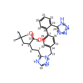 CC(C)(C)CC(CCc1ncnn1Cc1ccc(-c2ccccc2-c2nnn[nH]2)cc1)C(=O)O